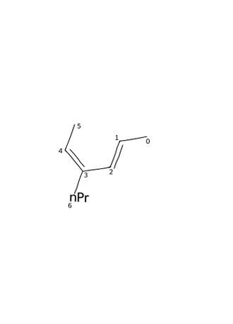 CC=CC(=CC)CCC